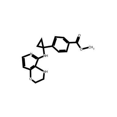 COC(=O)c1ccc(C2(Nc3nccc4c3NCCO4)CC2)cc1